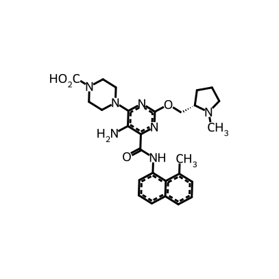 Cc1cccc2cccc(NC(=O)c3nc(OC[C@@H]4CCCN4C)nc(N4CCN(C(=O)O)CC4)c3N)c12